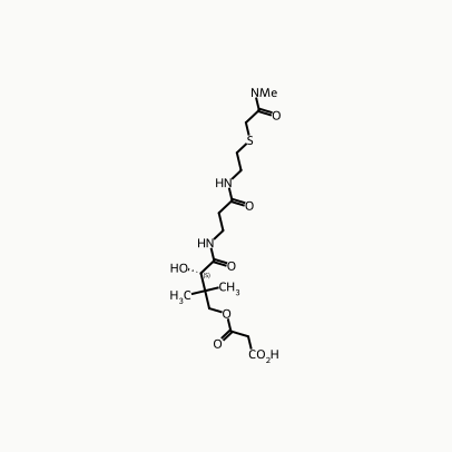 CNC(=O)CSCCNC(=O)CCNC(=O)[C@@H](O)C(C)(C)COC(=O)CC(=O)O